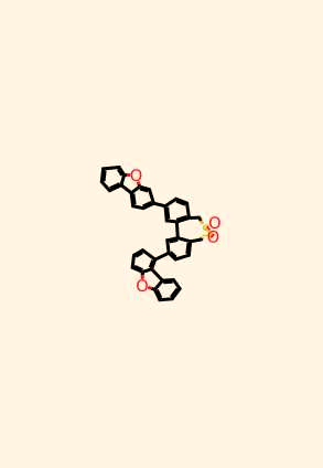 O=S1(=O)Cc2ccc(-c3ccc4c(c3)oc3ccccc34)cc2-c2cc(-c3cccc4oc5ccccc5c34)ccc2C1